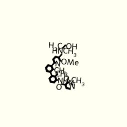 COc1nc(-c2cccc(-c3cccc(NC(=O)c4ccnn(C)c4=O)c3C)c2C)ccc1CNC(C)(C)CO